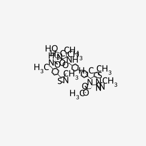 COC(=O)C[C@@H]1N=C(c2ccc(-c3ccc(C(=O)N[C@H](C(=O)N4C[C@H](O)C[C@H]4C(=O)N[C@@H](C)c4ccc(-c5scnc5C)cc4)C(C)(C)C)cc3)cc2)c2c(sc(C)c2C)-n2c(C)nnc21